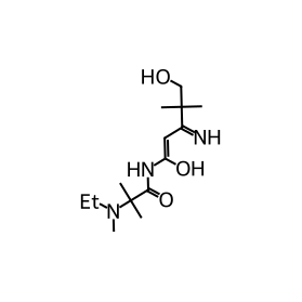 CCN(C)C(C)(C)C(=O)N/C(O)=C/C(=N)C(C)(C)CO